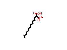 CCCCCCCCCCCCC(C(=O)O)C(=O)OC